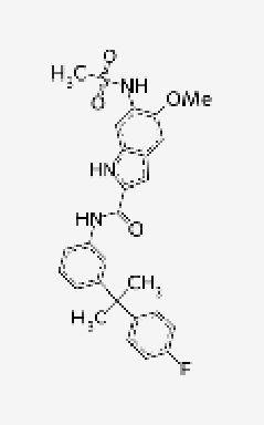 COc1cc2cc(C(=O)Nc3cccc(C(C)(C)c4ccc(F)cc4)c3)[nH]c2cc1NS(C)(=O)=O